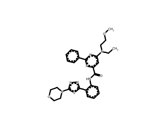 CCN(CCOC)c1cc(C(=O)Nc2ccccc2-c2nnc(N3CCOCC3)s2)nc(-c2ccccc2)n1